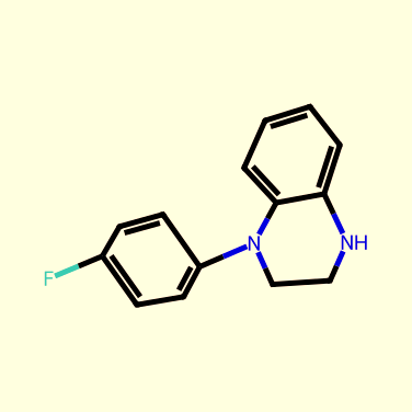 Fc1ccc(N2CCNc3ccccc32)cc1